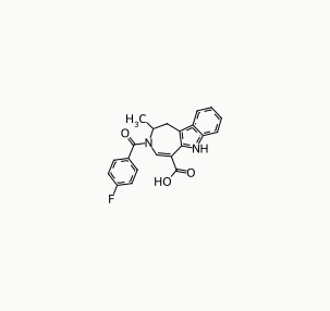 CC1Cc2c([nH]c3ccccc23)C(C(=O)O)=CN1C(=O)c1ccc(F)cc1